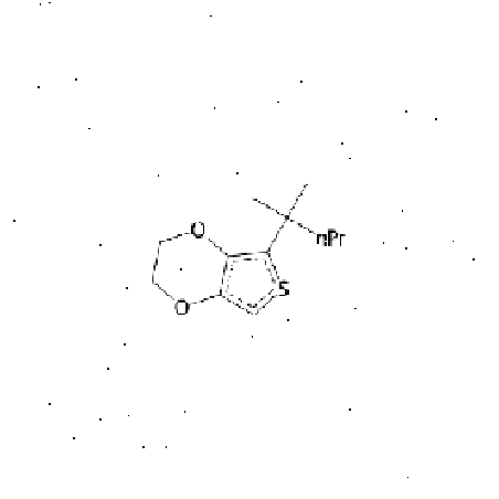 CCCC(C)(C)c1scc2c1OCCO2